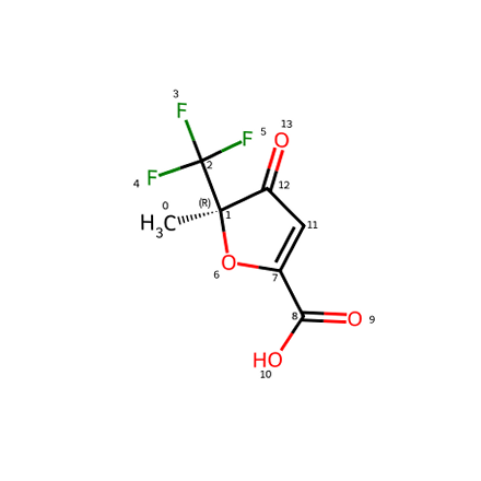 C[C@@]1(C(F)(F)F)OC(C(=O)O)=CC1=O